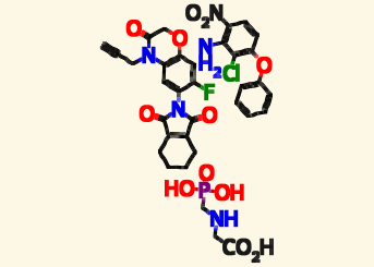 C#CCN1C(=O)COc2cc(F)c(N3C(=O)C4=C(CCCC4)C3=O)cc21.Nc1c([N+](=O)[O-])ccc(Oc2ccccc2)c1Cl.O=C(O)CNCP(=O)(O)O